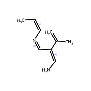 C=C(C)C(/C=N\C=C/C)=C/N